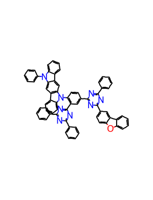 c1ccc(-c2nc(-c3ccc(-n4c5ccccc5c5cc6c(cc54)c4ccccc4n6-c4ccccc4)c(-c4nc(-c5ccccc5)nc(-c5ccccc5)n4)c3)nc(-c3ccc4oc5ccccc5c4c3)n2)cc1